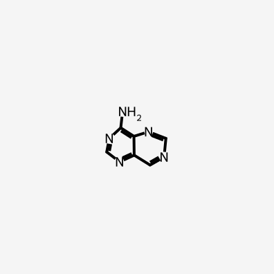 Nc1ncnc2cncnc12